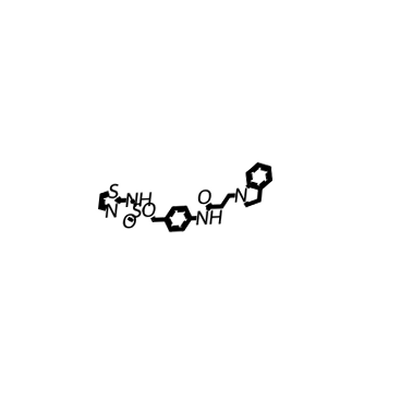 O=C(CCN1CCc2ccccc21)Nc1ccc(COS(=O)Nc2nccs2)cc1